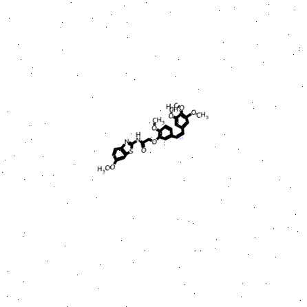 COc1ccc2nc(NC(=O)COc3cc(/C=C\c4cc(OC)c(OC)c(OC)c4)ccc3OC)sc2c1